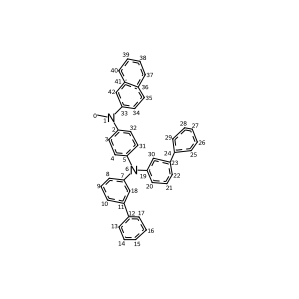 CN(c1ccc(N(c2cccc(-c3ccccc3)c2)c2cccc(-c3ccccc3)c2)cc1)c1ccc2ccccc2c1